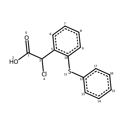 O=C(O)C(Cl)c1ccccc1Sc1ccccc1